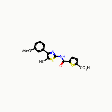 COc1cccc(-c2nc(NC(=O)c3ccc(C(=O)O)s3)sc2C#N)c1